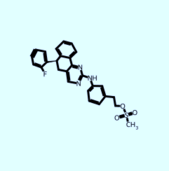 CS(=O)(=O)OCCc1cccc(Nc2ncc3c(n2)-c2ccccc2[C@H](c2cc#ccc2F)C3)c1